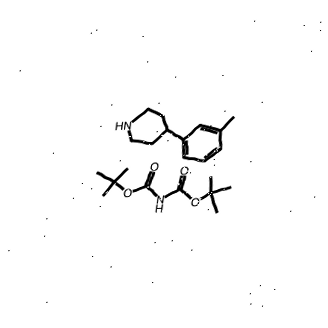 CC(C)(C)OC(=O)NC(=O)OC(C)(C)C.Cc1cccc(C2CCNCC2)c1